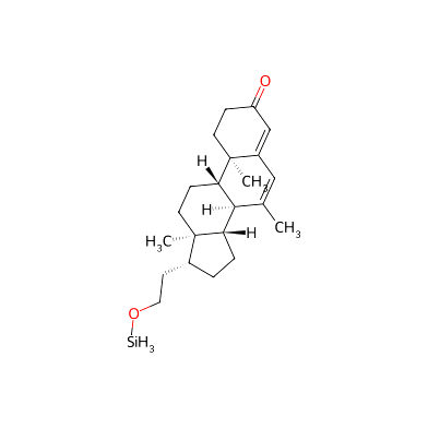 CC1=CC2=CC(=O)CC[C@]2(C)[C@H]2CC[C@]3(C)[C@@H](CCO[SiH3])CC[C@H]3[C@H]12